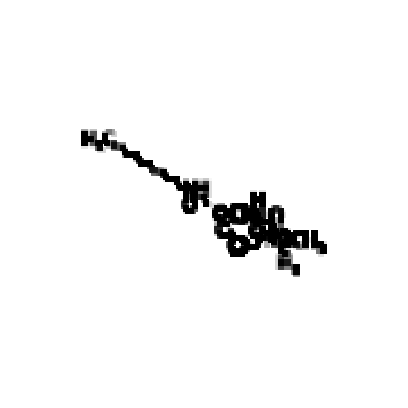 CCCCCCCCCCCCNC(=O)CCCOc1ccc(NCC(=O)N(CC(C)C)NC(=O)Cc2cccc(Cl)c2)cc1